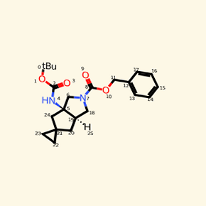 CC(C)(C)OC(=O)N[C@@]12CN(C(=O)OCc3ccccc3)C[C@H]1CC1(CC1)C2